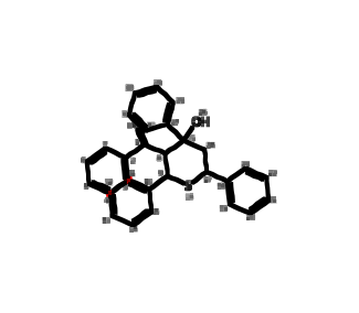 O=C(c1ccccc1)C1C(c2ccccc2)SC(c2ccccc2)CC1(O)c1ccccc1